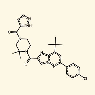 CC(C)(C)c1cc(-c2ccc(Cl)cc2)nn2cc(C(=O)N3CCN(C(=O)c4ccn[nH]4)CC3(C)C)nc12